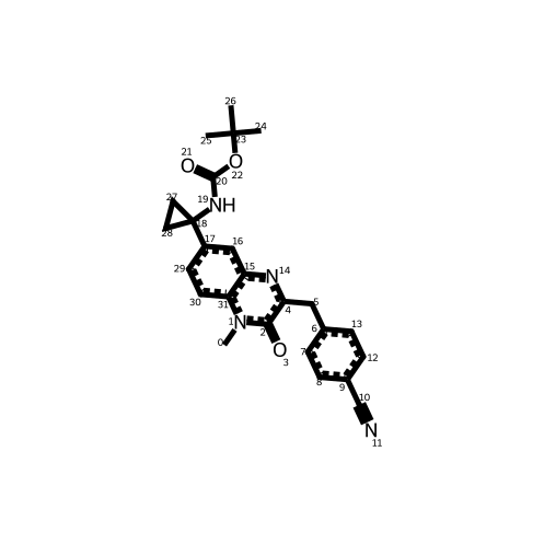 Cn1c(=O)c(Cc2ccc(C#N)cc2)nc2cc(C3(NC(=O)OC(C)(C)C)CC3)ccc21